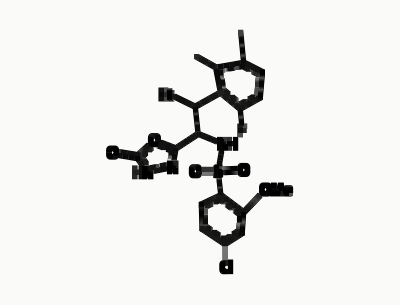 CCC(c1c(F)ccc(C)c1C)C(NS(=O)(=O)c1ccc(Cl)cc1OC)c1n[nH]c(=O)o1